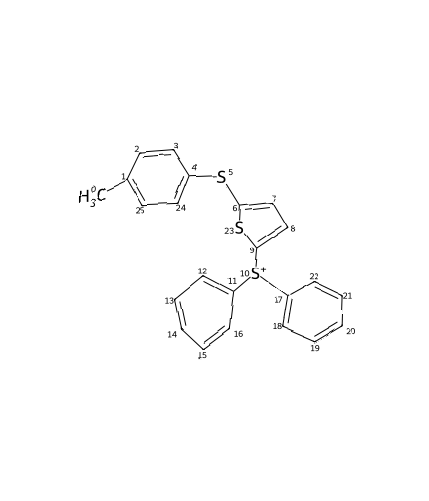 Cc1ccc(Sc2ccc([S+](c3ccccc3)c3ccccc3)s2)cc1